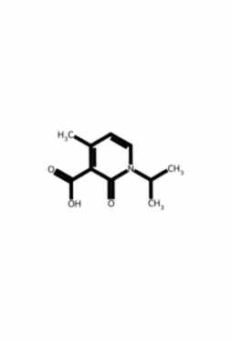 Cc1ccn(C(C)C)c(=O)c1C(=O)O